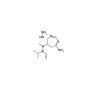 C=CN(C(C)C)N(C)C1CC(N)=NC=N[C@H]1NN